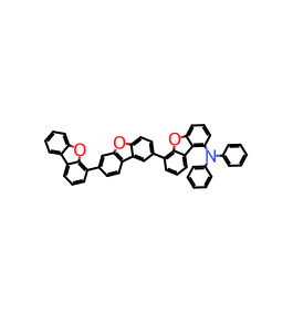 c1ccc(N(c2ccccc2)c2cccc3oc4c(-c5ccc6oc7cc(-c8cccc9c8oc8ccccc89)ccc7c6c5)cccc4c23)cc1